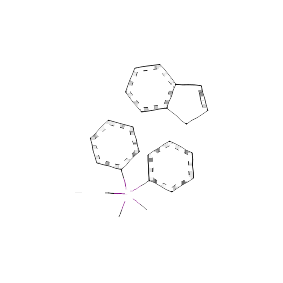 C1=Cc2ccccc2C1.C[P](C)([SnH3])(c1ccccc1)c1ccccc1